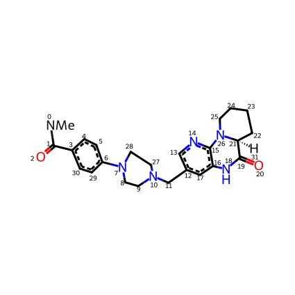 CNC(=O)c1ccc(N2CCN(Cc3cnc4c(c3)NC(=O)[C@@H]3CCCCN43)CC2)cc1